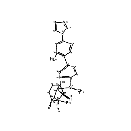 CN(c1ccc(-c2ccc(-n3ccnn3)cc2O)nn1)[C@H]1[C@@H]2CC[C@@H](NC2)[C@@H]1F